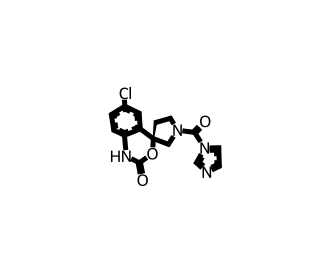 O=C1Nc2ccc(Cl)cc2[C@@]2(CCN(C(=O)n3ccnc3)C2)O1